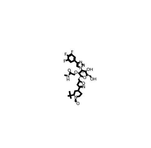 CNC(=O)CO[C@@H]1[C@@H](n2cc(-c3cc(F)c(F)c(F)c3)nn2)[C@@H](O)[C@@H](CO)O[C@@H]1CC1CC(C2CCN([C]=O)C(C(C)(C)C)C2)=NO1